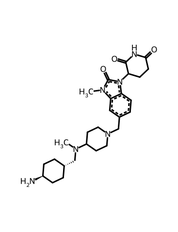 CN(C[C@H]1CC[C@H](N)CC1)C1CCN(Cc2ccc3c(c2)n(C)c(=O)n3C2CCC(=O)NC2=O)CC1